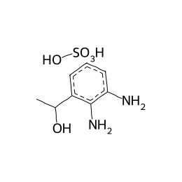 CC(O)c1cccc(N)c1N.O=S(=O)(O)O